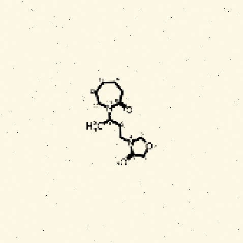 CC(CCN1COCC1=O)N1CCCCCC1=O